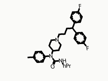 CCCNC(=O)N(c1ccc(C)cc1)C1CCN(CCCC(c2ccc(F)cc2)c2ccc(F)cc2)CC1